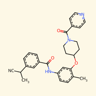 Cc1ccc(NC(=O)c2cccc(C(C)C#N)c2)cc1OC1CCN(C(=O)c2ccncc2)CC1